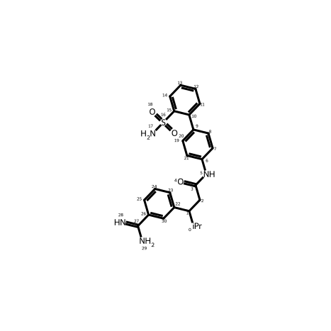 CC(C)C(CC(=O)Nc1ccc(-c2ccccc2S(N)(=O)=O)cc1)c1cccc(C(=N)N)c1